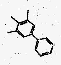 Cc1cc(-c2cccnc2)cc(C)c1C